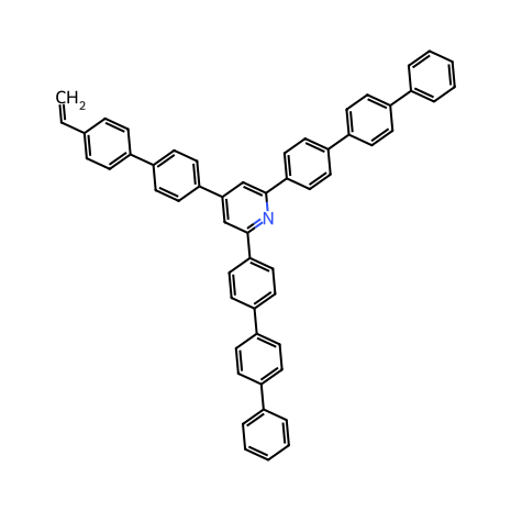 C=Cc1ccc(-c2ccc(-c3cc(-c4ccc(-c5ccc(-c6ccccc6)cc5)cc4)nc(-c4ccc(-c5ccc(-c6ccccc6)cc5)cc4)c3)cc2)cc1